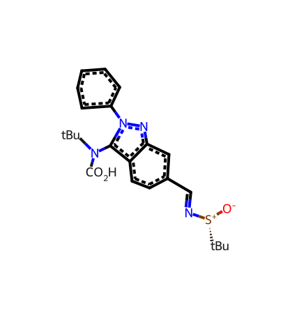 CC(C)(C)N(C(=O)O)c1c2ccc(C=N[S@+]([O-])C(C)(C)C)cc2nn1-c1ccccc1